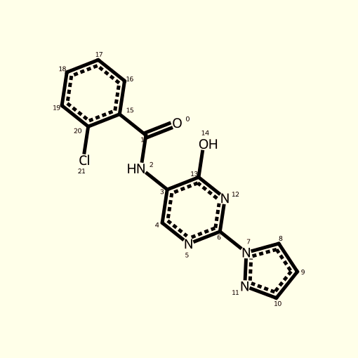 O=C(Nc1cnc(-n2cccn2)nc1O)c1ccccc1Cl